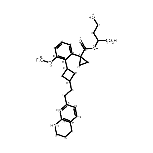 O=C(O)C(CCO)NC(=O)C1(c2cccc(OC(F)(F)F)c2C2CC(CCc3ccc4c(n3)NCCC4)C2)CC1